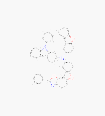 c1ccc(-c2nc3ccc4oc5ccc(N(c6ccc7oc8ccccc8c7c6)c6ccc7c8ccccc8n(-c8ccccc8)c7c6)cc5c4c3o2)cc1